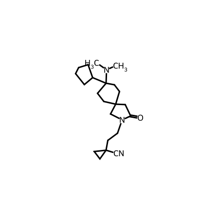 CN(C)C1(C2CCCC2)CCC2(CC1)CC(=O)N(CCC1(C#N)CC1)C2